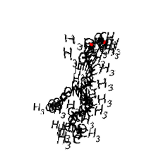 CCC(C)(C)C(=O)NCC(C)COCC(C)(C)CC(=O)NCC(C)(C)COP(C)CC(=O)NCC(CNC(=O)CC(C)(C)COCC(C)(C)CNC(=O)CC(C)(C)COCC(C)(C)CNC(=O)C(C)(C)CC(C)(C)C)C(=O)NCCOc1ccc(-c2nnc(S(C)(=O)=O)o2)cc1